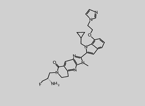 Cn1c(-c2cc3cccc(OCCn4ccnc4)c3n2CC2CC2)nc2cc3c(nc21)CCN(C[C@H](N)CF)C3=O